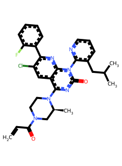 C=CC(=O)N1CCN(c2nc(=O)n(-c3ncccc3CC(C)C)c3nc(-c4ccccc4F)c(Cl)cc23)[C@@H](C)C1